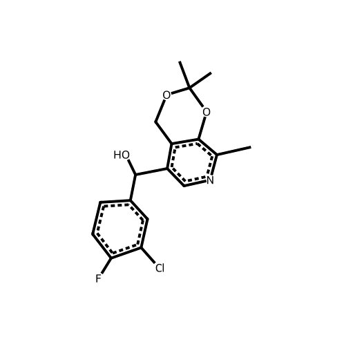 Cc1ncc(C(O)c2ccc(F)c(Cl)c2)c2c1OC(C)(C)OC2